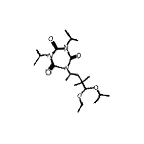 CCOC(OC(C)C)C(C)(C)CC(C)n1c(=O)n(C(C)C)c(=O)n(C(C)C)c1=O